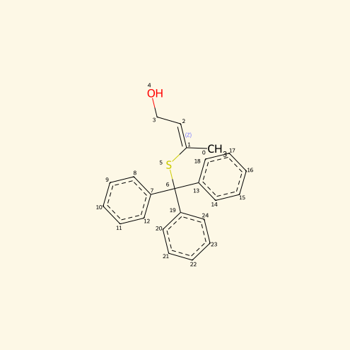 C/C(=C/CO)SC(c1ccccc1)(c1ccccc1)c1ccccc1